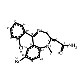 CN1C(=CC(N)=O)CN=C(c2ccccc2Cl)c2cc(Br)ccc21